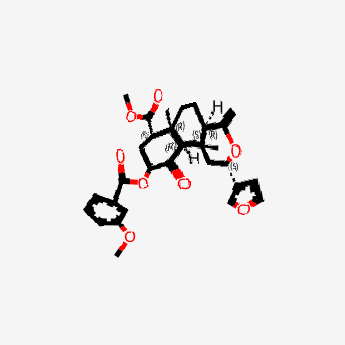 C=C1O[C@H](c2ccoc2)C[C@]2(C)[C@H]3C(=O)C(OC(=O)c4cccc(OC)c4)=C[C@@H](C(=O)OC)[C@]3(C)CC[C@@H]12